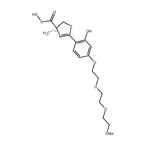 COCCOCCOCCOc1ccc(C2=N[C@@](C)(C(=O)OO)CS2)c(O)c1